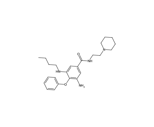 CCCCNc1cc(C(=O)NCCN2CCCCC2)cc(N)c1Oc1ccccc1